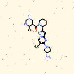 Cc1cn2nc([C@@H]3CCCCN3C(=O)C3CNCNC3C)cc2nc1N1CC[C@H](N)C1